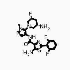 Cn1ncc(NC(=O)c2nc(-c3c(F)cccc3F)sc2N)c1N1C[C@@H](N)C[C@H](F)C1